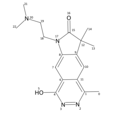 Cc1nnc(O)c2cc3c(cc12)C(C)(C)C(=O)N3CCN(C)C